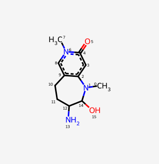 CN1c2cc(=O)n(C)cc2CCC(N)C1O